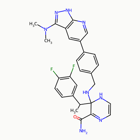 CC(c1ccc(F)c(F)c1)C1(NCc2ccc(-c3cnc4[nH]nc(N(C)C)c4c3)cc2)NC=CN=C1C(N)=O